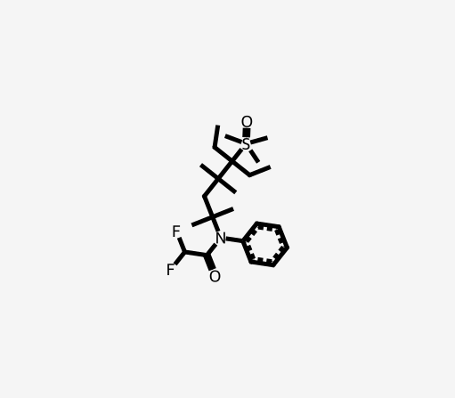 CCC(CC)(C(C)(C)CC(C)(C)N(C(=O)C(F)F)c1ccccc1)S(C)(C)(C)=O